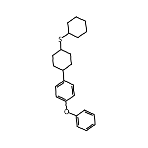 c1ccc(Oc2ccc(C3CCC(SC4CCCCC4)CC3)cc2)cc1